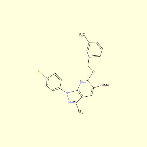 CNc1cc2c(C(F)(F)F)nn(-c3ccc(F)cc3)c2nc1OCc1cccc(C(F)(F)F)c1